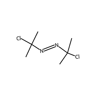 CC(C)(Cl)N=NC(C)(C)Cl